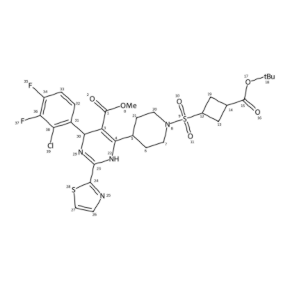 COC(=O)C1=C(C2CCN(S(=O)(=O)C3CC(C(=O)OC(C)(C)C)C3)CC2)NC(c2nccs2)=NC1c1ccc(F)c(F)c1Cl